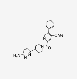 COc1cc(C(=O)N2CCC(c3ccc(N)nn3)CC2)ncc1-c1ccccc1